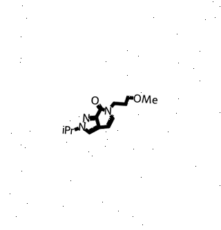 COCCCn1ccc2cn(C(C)C)nc2c1=O